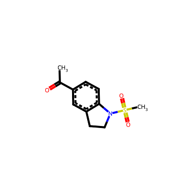 CC(=O)c1ccc2c(c1)CCN2S(C)(=O)=O